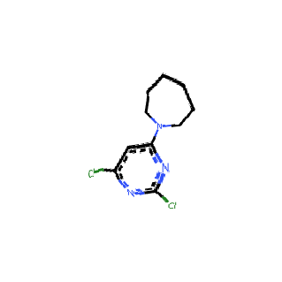 Clc1cc(N2CCCCCC2)nc(Cl)n1